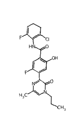 CCCn1cc(C)nc(-c2cc(O)c(C(=O)NC3=C(Cl)CCC=C3F)cc2F)c1=O